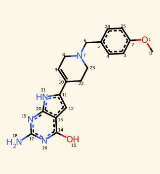 COc1ccc(CN2CC=C(c3cc4c(O)nc(N)nc4[nH]3)CC2)cc1